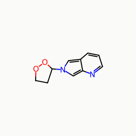 c1cnc2cn(C3CCOO3)cc2c1